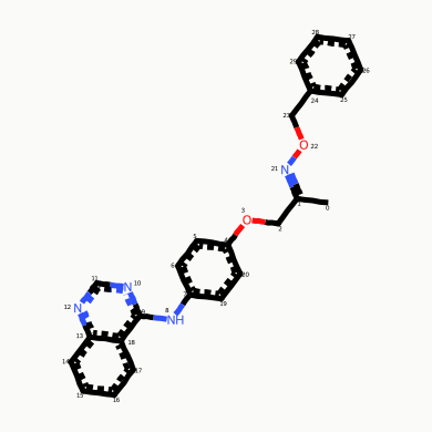 CC(COc1ccc(Nc2ncnc3ccccc23)cc1)=NOCc1ccccc1